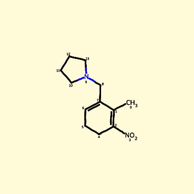 CC1=C([N+](=O)[O-])[CH]CC=C1CN1CCCC1